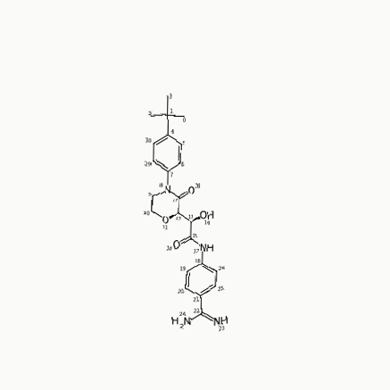 CC(C)(C)c1ccc(N2CCO[C@H]([C@@H](O)C(=O)Nc3ccc(C(=N)N)cc3)C2=O)cc1